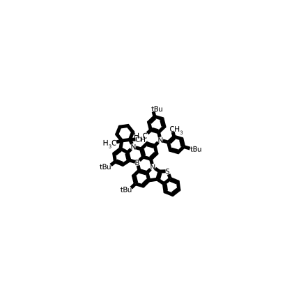 Cc1cc(C(C)(C)C)ccc1N(c1cc2c3c(c1)-n1c4sc5ccccc5c4c4cc(C(C)(C)C)cc(c41)B3c1cc(C(C)(C)C)cc3c1N2C1(C)CCCCC31C)c1ccc(C(C)(C)C)cc1C